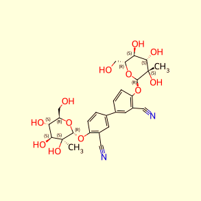 C[C@@]1(O)[C@@H](Oc2ccc(-c3ccc(O[C@H]4O[C@H](CO)[C@@H](O)[C@H](O)[C@]4(C)O)c(C#N)c3)cc2C#N)O[C@H](CO)[C@@H](O)[C@@H]1O